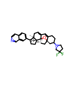 C[C@]12CC=C3C=C4CCC(N5CCC(F)(F)C5)C[C@]45CC[C@]3(O5)[C@@H]1CCC2c1ccc2ccncc2c1